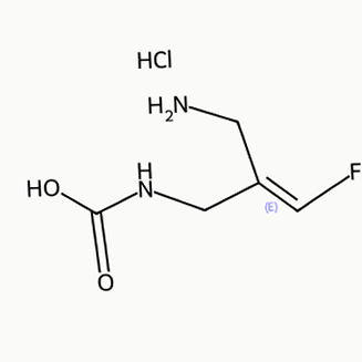 Cl.NC/C(=C\F)CNC(=O)O